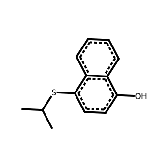 CC(C)Sc1ccc(O)c2ccccc12